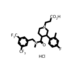 Cc1cc(F)ccc1C1CN(CCC(=O)O)CCC1C(=O)N(C)Cc1cc(C(F)(F)F)cc(C(F)(F)F)c1.Cl